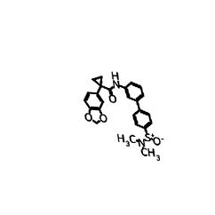 CN(C)[S+]([O-])c1ccc(-c2cccc(NC(=O)C3(c4ccc5c(c4)OCO5)CC3)c2)cc1